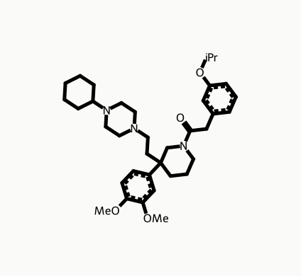 COc1ccc(C2(CCN3CCN(C4CCCCC4)CC3)CCCN(C(=O)Cc3cccc(OC(C)C)c3)C2)cc1OC